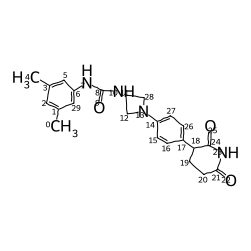 Cc1cc(C)cc(NC(=O)NC2CN(c3ccc(C4CCC(=O)NC4=O)cc3)C2)c1